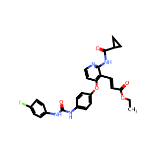 CCOC(=O)C=Cc1c(Oc2ccc(NC(=O)Nc3ccc(F)cc3)cc2)ccnc1NC(=O)C1CC1